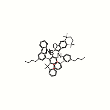 CCCCc1ccc(N2c3cc4c(c5c3B(c3oc6cc7c(cc6c32)C(C)(C)CCC7(C)C)n2c3ccccc3c3cc(CCCC)cc-5c32)C(C)(C)c2ccccc2-4)c(-c2ccccc2)c1